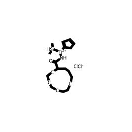 C[SiH](C)[Ti+2]([NH]C(=O)C1CCCCCCCCCCC1)[C]1=CC=CC1.[Cl-].[Cl-]